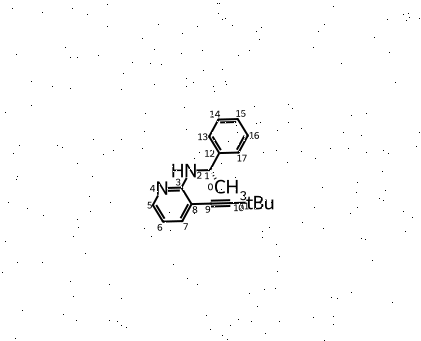 C[C@H](Nc1ncccc1C#CC(C)(C)C)c1ccccc1